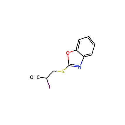 O=CC(I)CSc1nc2ccccc2o1